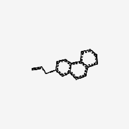 C=CCc1ccc2c(ccc3ccccc32)c1